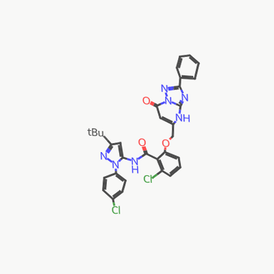 CC(C)(C)c1cc(NC(=O)c2c(Cl)cccc2OCc2cc(=O)n3nc(-c4ccccc4)nc3[nH]2)n(-c2ccc(Cl)cc2)n1